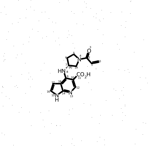 C=CC(=O)N1CC[C@@H](Nc2c(C(=O)O)cnc3[nH]ccc23)C1